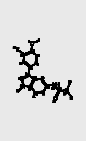 COc1ccc(-c2nn(C)c3ncc(NC(=O)N(C)C)cc23)cc1F